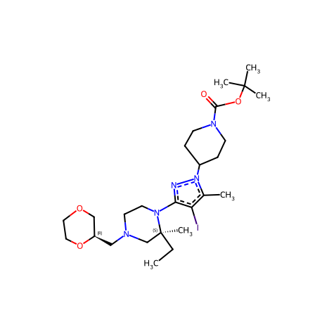 CC[C@@]1(C)CN(C[C@@H]2COCCO2)CCN1c1nn(C2CCN(C(=O)OC(C)(C)C)CC2)c(C)c1I